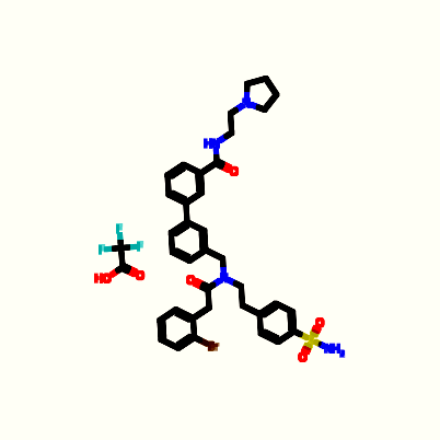 NS(=O)(=O)c1ccc(CCN(Cc2cccc(-c3cccc(C(=O)NCCN4CCCC4)c3)c2)C(=O)Cc2ccccc2Br)cc1.O=C(O)C(F)(F)F